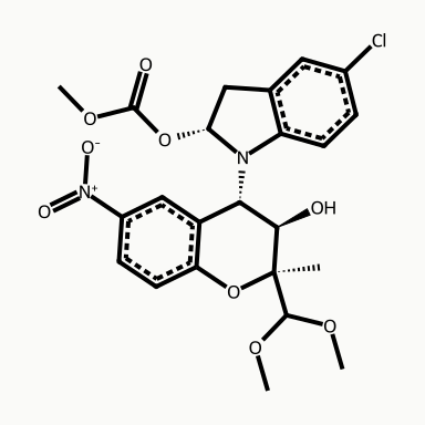 COC(=O)O[C@@H]1Cc2cc(Cl)ccc2N1[C@H]1c2cc([N+](=O)[O-])ccc2O[C@](C)(C(OC)OC)[C@@H]1O